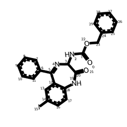 O=C(NC1N=C(c2ccccc2)c2cc(I)ccc2NC1=O)OCc1ccccc1